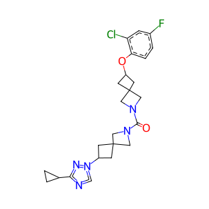 O=C(N1CC2(CC(Oc3ccc(F)cc3Cl)C2)C1)N1CC2(CC(n3cnc(C4CC4)n3)C2)C1